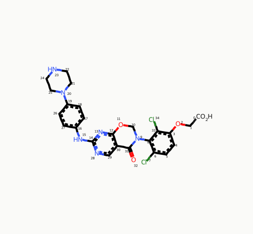 O=C(O)COc1ccc(Cl)c(N2COc3nc(Nc4ccc(N5CCNCC5)cc4)ncc3C2=O)c1Cl